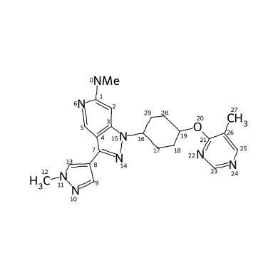 CNc1cc2c(cn1)c(-c1cnn(C)c1)nn2C1CCC(Oc2ncncc2C)CC1